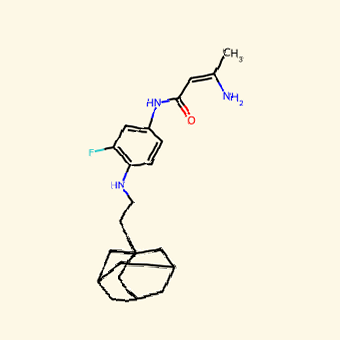 C/C(N)=C/C(=O)Nc1ccc(NCCC23CC4CC(CC(C4)C2)C3)c(F)c1